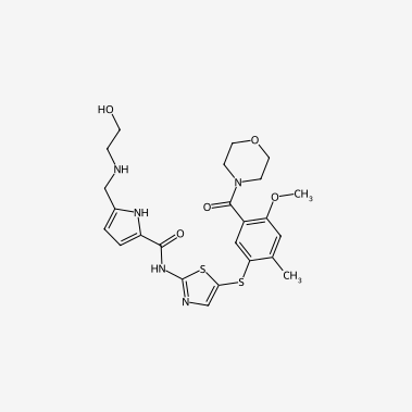 COc1cc(C)c(Sc2cnc(NC(=O)c3ccc(CNCCO)[nH]3)s2)cc1C(=O)N1CCOCC1